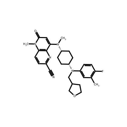 Cc1cc(N(CC2CCOC2)[C@H]2CC[C@@H](N(C)c3cc(=O)n(C)c4ccc(C#N)nc34)CC2)ccc1F